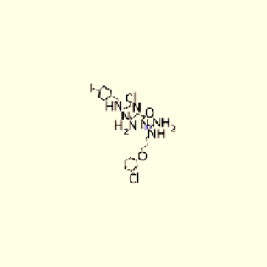 N/C(=N\C(=O)c1nc(Cl)c(NCc2ccc(I)cc2)nc1N)NCCCOc1cccc(Cl)c1